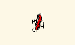 O=C(COc1ccc(Cl)c(F)c1)NC[C@@H](O)CCNC(=O)c1n[nH]c(-c2ccc(Cl)cc2)n1